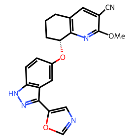 COc1nc2c(cc1C#N)CCC[C@H]2Oc1ccc2[nH]nc(-c3cnco3)c2c1